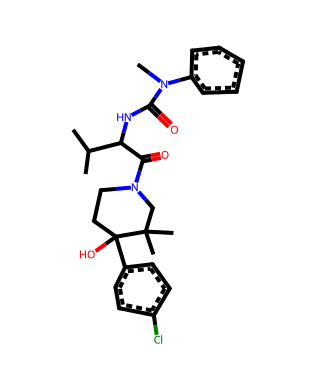 CC(C)C(NC(=O)N(C)c1ccccc1)C(=O)N1CCC(O)(c2ccc(Cl)cc2)C(C)(C)C1